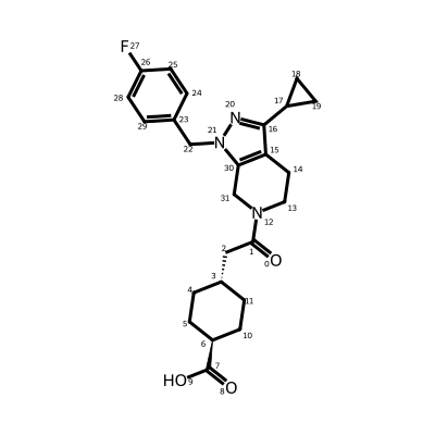 O=C(C[C@H]1CC[C@H](C(=O)O)CC1)N1CCc2c(C3CC3)nn(Cc3ccc(F)cc3)c2C1